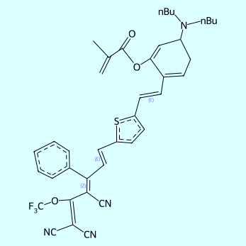 C=C(C)C(=O)OC1=CC(N(CCCC)CCCC)CC=C1/C=C/c1ccc(/C=C/C(=C(\C#N)C(OC(F)(F)F)=C(C#N)C#N)c2ccccc2)s1